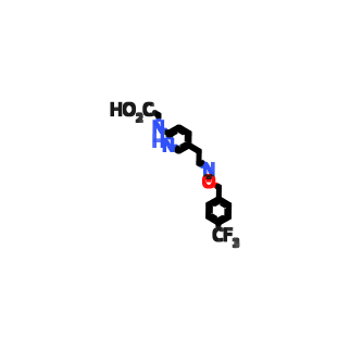 O=C(O)CNc1ccc(CC=NOCc2ccc(C(F)(F)F)cc2)cn1